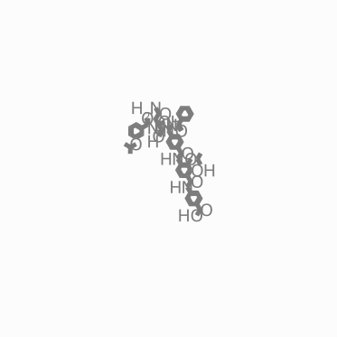 CC(C)Oc1cccc(C(=O)NC(O)(CC(N)=O)C(=O)N(NC(=O)c2ccccc2)c2ccc(C(=O)Nc3ccc(C(=O)Nc4ccc(C(=O)O)cc4)c(O)c3OC(C)C)cc2)c1